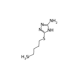 Nc1nnc(SCCCC[SiH3])[nH]1